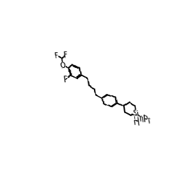 CCC[SiH]1CCC(C2CCC(CCCCc3ccc(OC(F)F)c(F)c3)CC2)CC1